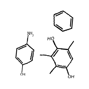 Cc1cc(O)c(C)c(C)c1O.Nc1ccc(O)cc1.c1ccccc1